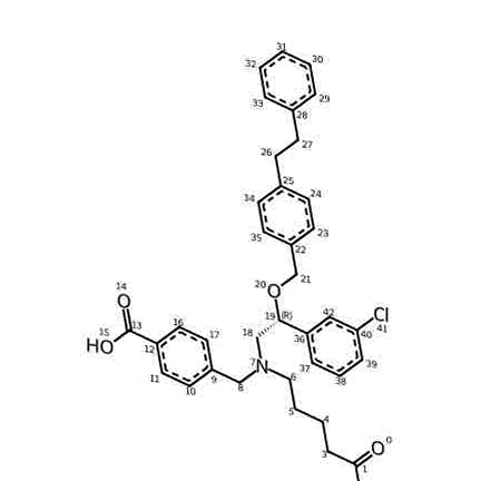 O=C(O)CCCCN(Cc1ccc(C(=O)O)cc1)C[C@H](OCc1ccc(CCc2ccccc2)cc1)c1cccc(Cl)c1